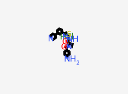 Cl.Nc1ccc(C(=O)N2CC[C@@H]2C(=O)Nc2nc(-c3cccc(-c4ccncc4)c3)cs2)cc1